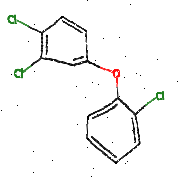 Clc1ccc(Oc2ccccc2Cl)cc1Cl